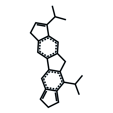 CC(C)C1=CCc2cc3c(cc21)Cc1c-3cc2c(c1C(C)C)=CCC=2